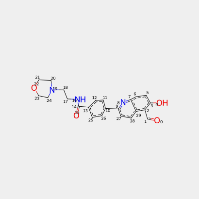 O=Cc1c(O)ccc2nc(-c3ccc(C(=O)NCCN4CCOCC4)cc3)ccc12